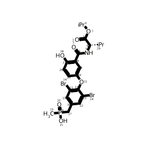 CC(C)OC(=O)[C@@H](NC(=O)c1cc(Oc2c(Br)cc(CP(C)(=O)O)cc2Br)ccc1O)C(C)C